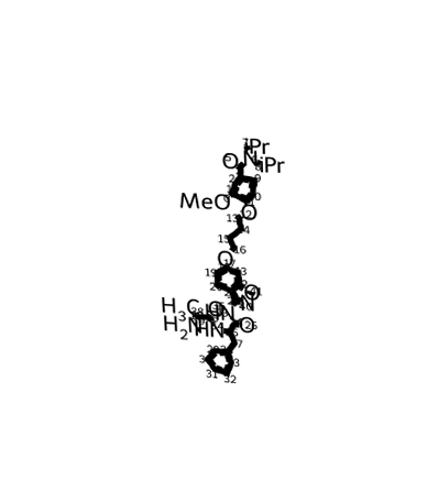 COc1cc(C(=O)N(C(C)C)C(C)C)ccc1OCCCCOc1ccc2c(NC(=O)C(Cc3ccccc3)NC(=O)C(C)N)noc2c1